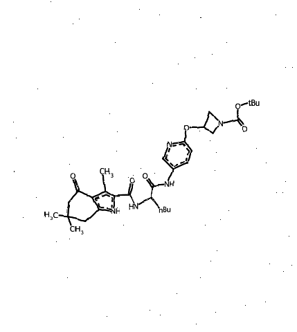 CCCCC(NC(=O)c1[nH]c2c(c1C)C(=O)CC(C)(C)C2)C(=O)Nc1ccc(OC2CN(C(=O)OC(C)(C)C)C2)nc1